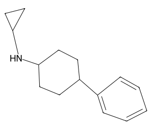 c1ccc(C2CCC(NC3CC3)CC2)cc1